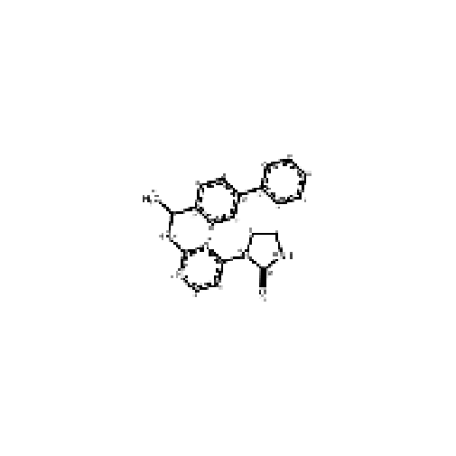 CC(Nc1nccc(N2CCNC2=O)n1)c1ccc(-c2ccccc2)cc1